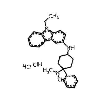 CCn1c2ccccc2c2cc(NC3CCC(c4ccccc4)(N(C)C)CC3)ccc21.Cl.Cl